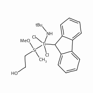 CO[Si](C)(CCO)[Ti]([Cl])([Cl])([NH]C(C)(C)C)[CH]1c2ccccc2-c2ccccc21